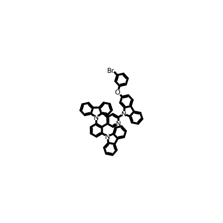 Cc1cc(-n2c3ccccc3c3ccc(Oc4cccc(Br)c4)cc32)ncc1-c1c(-n2c3ccccc3c3ccccc32)cccc1-n1c2ccccc2c2ccccc21